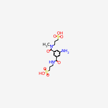 CN(CCCS(=O)(=O)O)C(=O)c1cc(N)cc(C(=O)NCCCS(=O)(=O)O)c1